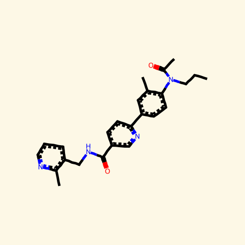 CCCN(C(C)=O)c1ccc(-c2ccc(C(=O)NCc3cccnc3C)cn2)cc1C